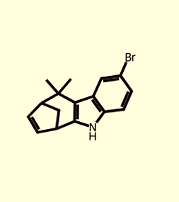 CC1(C)c2c([nH]c3ccc(Br)cc23)C2C=CC1C2